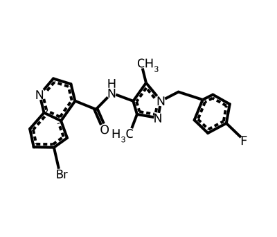 Cc1nn(Cc2ccc(F)cc2)c(C)c1NC(=O)c1ccnc2ccc(Br)cc12